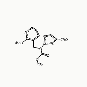 COc1ncccc1CN(C(=O)OC(C)(C)C)c1ncc(C=O)s1